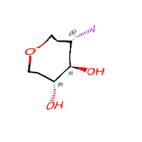 O[C@H]1[C@H](O)COC[C@@H]1I